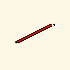 N#C/N=N/N=N/N=N/N=N/N=N/N=N/N=N/N=N/N=N/N=N/N=N/N=N/N=N/N=N/N=N/N=N/N=N/N=N/N=N/N=N/N=N/N=N/N=N/N=N/N=N/N=N/N=N/N=N/N=N/N=N/N=N/N=N/N=N/N=N/N=N/N=N/N=N/N=N/N=N/N=N/N=N/N=N/N=N/N=N/N=N/N=N/N=N/N=N/N=N/N=N/N=N/N=N/N=N/N=N/N=N/N=N/N=N/N=N/N=N/N=N/N=N/N=N/N=N/N=N/N=N/N=N/N=N/N=N/N=N/N=N